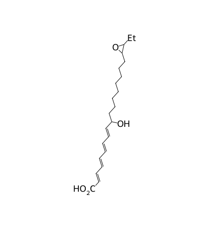 CCC1OC1CCCCCCCCC(O)C=CC=CC=CC=CC(=O)O